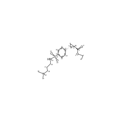 CCOC(=O)[C@@H]1C[C@H]1c1ccc(S(=O)(=O)NCCCN(C)C)cc1